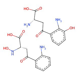 Nc1c(O)cccc1C(=O)C[C@H](N)C(=O)O.Nc1ccccc1C(=O)C[C@H](NO)C(=O)O